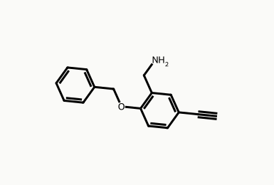 C#Cc1ccc(OCc2ccccc2)c(CN)c1